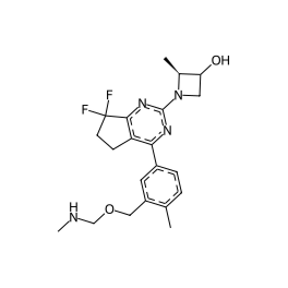 CNCOCc1cc(-c2nc(N3CC(O)[C@@H]3C)nc3c2CCC3(F)F)ccc1C